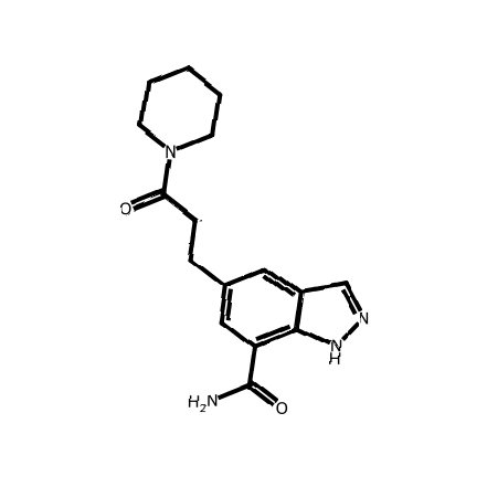 NC(=O)c1cc(C[CH]C(=O)N2CCCCC2)cc2cn[nH]c12